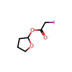 O=C(CI)OC1CCCO1